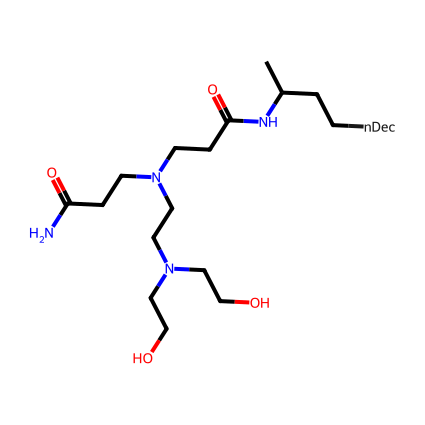 CCCCCCCCCCCCC(C)NC(=O)CCN(CCC(N)=O)CCN(CCO)CCO